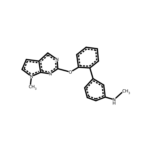 CNc1cccc(-c2ccccc2Oc2ncc3ccn(C)c3n2)c1